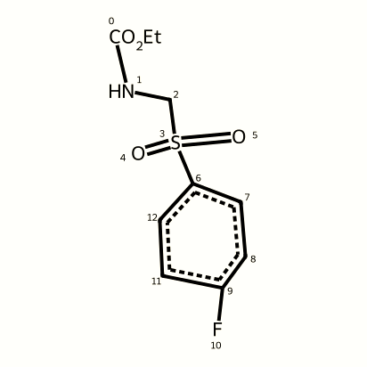 CCOC(=O)NCS(=O)(=O)c1ccc(F)cc1